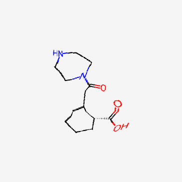 O=C(O)[C@@H]1CCCCC1C(=O)N1CCNCC1